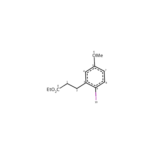 CCOC(=O)CCc1cc(OC)ccc1I